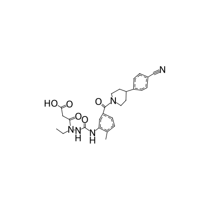 CCN(NC(=O)Nc1cc(C(=O)N2CCC(c3ccc(C#N)cc3)CC2)ccc1C)C(=O)CC(=O)O